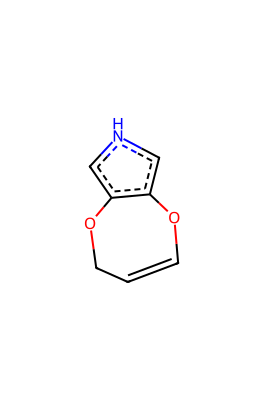 C1=COc2c[nH]cc2OC1